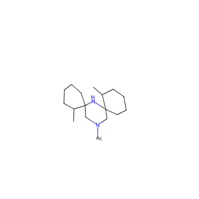 CC(=O)N1CC2(CCCCC2C)NC2(CCCCC2C)C1